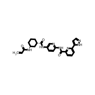 C=CC(=O)N[C@@H]1CCC[C@H](C(=O)Nc2ccc(NC(=O)c3cccc(-c4ccn[nH]4)n3)nc2)C1